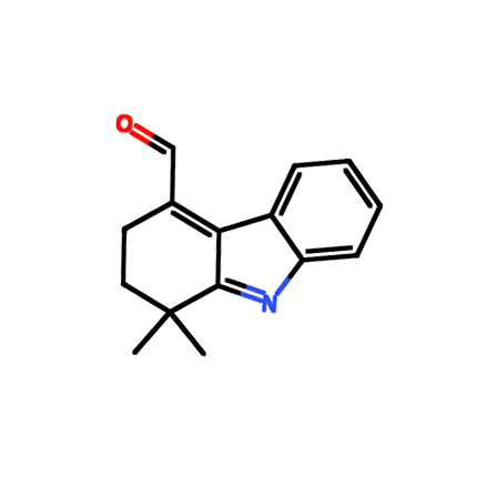 CC1(C)CCC(C=O)=C2C1=Nc1ccccc12